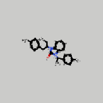 COCC(Cc1ccc(C)cc1)n1c(=O)n(C(C)c2ccc(C)cc2)c2ccccc21